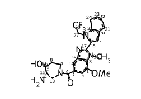 COc1cc(C(=O)N2CC[C@@H](O)[C@@H](N)C2)cc2nc(-c3cc4ccccc4n3CC(F)(F)F)n(C)c12